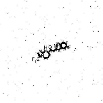 N[C@@H](CC(=O)C1CCCn2c(C(F)(F)F)cnc2N1)Cc1cc(F)ccc1F